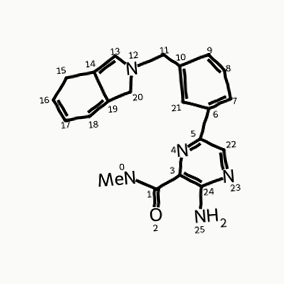 CNC(=O)c1nc(-c2cccc(CN3C=C4CC=CC=C4C3)c2)cnc1N